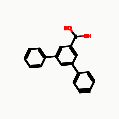 OB(O)c1cc(-c2cc#ccc2)cc(-c2ccccc2)c1